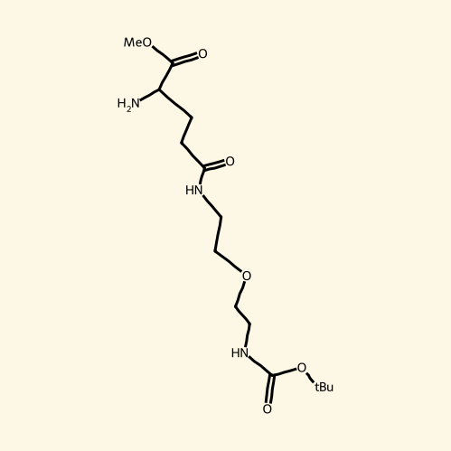 COC(=O)C(N)CCC(=O)NCCOCCNC(=O)OC(C)(C)C